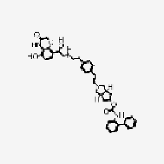 O=C1COc2c([C@@H](O)CNCCc3ccc(CCN4C[C@H]5C[C@@H](OC(=O)Nc6ccccc6-c6ccccc6)C[C@H]5C4)cc3)ccc(O)c2N1